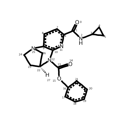 O=C(NC1CC1)c1ccc2c(n1)N(C(=O)Oc1ccccc1)[C@H]1CCN2C1